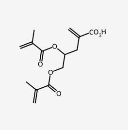 C=C(C)C(=O)OCC(CC(=C)C(=O)O)OC(=O)C(=C)C